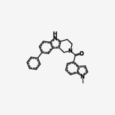 Cn1ccc2c(C(=O)N3CCc4[nH]c5ccc(-c6ccccc6)cc5c4C3)cccc21